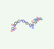 [CH2]N1C(=O)CCC(N2Cc3cc(N4CCC(CN5CCN(c6ccc(-c7cnc8[nH]cc(C(=O)c9c(F)ccc(NS(=O)(=O)N%10CC[C@@H](F)C%10)c9F)c8c7)cc6)CC5)CC4)ccc3C2=O)C1=O